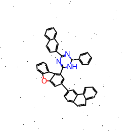 c1ccc(C2N=C(c3ccc4ccccc4c3)N=C(c3cc(-c4ccc5ccc6ccccc6c5c4)cc4oc5ccccc5c34)N2)cc1